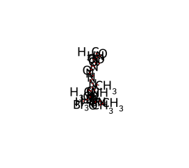 CCCC(C(=O)NC=O)n1c(=O)oc2c(N3CCC(C(=O)N4CCN(C5CCN(c6cc(OCC)c(Nc7ncc(S(=O)(=O)c8ccc(Br)cc8)c(Nc8ccc9nc(CC)ccc9c8P(C)(C)=O)n7)cc6CC)CC5)CC4)CC3)cccc21